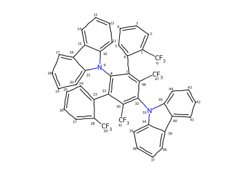 FC(F)(F)c1ccccc1-c1c(-n2c3ccccc3c3ccccc32)c(-c2ccccc2C(F)(F)F)c(C(F)(F)F)c(-n2c3ccccc3c3ccccc32)c1C(F)(F)F